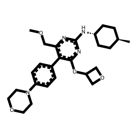 COCc1nc(N[C@H]2CC[C@H](C)CC2)nc(OC2COC2)c1-c1ccc(N2CCOCC2)cc1